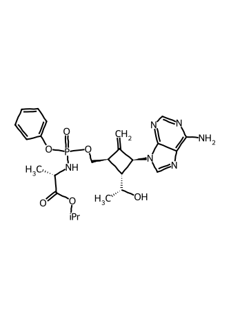 C=C1[C@@H](n2cnc3c(N)ncnc32)[C@H]([C@@H](C)O)[C@H]1COP(=O)(N[C@@H](C)C(=O)OC(C)C)Oc1ccccc1